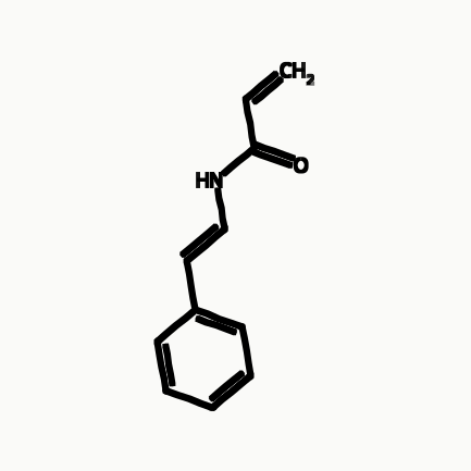 C=CC(=O)NC=Cc1ccccc1